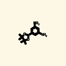 CC1(C)OB(c2cc(N)cc([N+](=O)[O-])c2)OC1(C)C